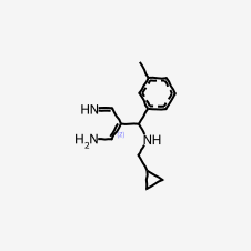 Cc1cccc(C(NCC2CC2)/C(C=N)=C/N)c1